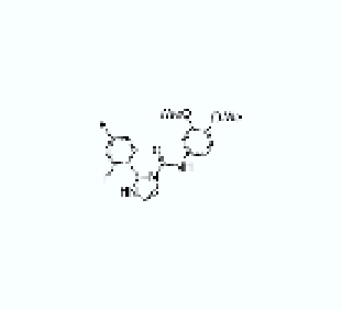 COc1ccc(NC(=O)N2C=CNC2c2ccc(F)cc2F)cc1OC